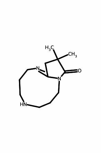 CC1(C)C/C2=N\CCCNCCCN2C1=O